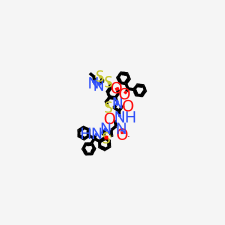 CON=C(C(=O)NC1C(=O)N2C(C(=O)OC(c3ccccc3)c3ccccc3)=C(C=CSc3nnc(C)s3)CSC12)c1csc(NC(c2ccccc2)(c2ccccc2)c2ccccc2)n1